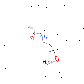 C=CC(=O)NCCC(C)(C)O[SiH3]